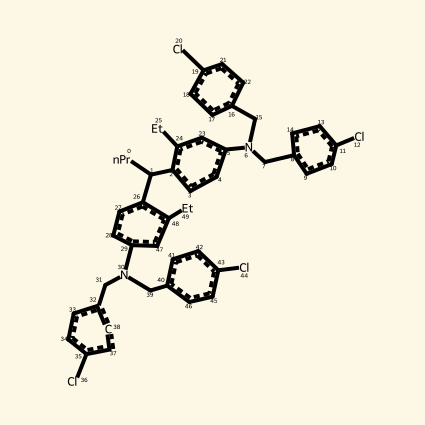 CCCC(c1ccc(N(Cc2ccc(Cl)cc2)Cc2ccc(Cl)cc2)cc1CC)c1ccc(N(Cc2ccc(Cl)cc2)Cc2ccc(Cl)cc2)cc1CC